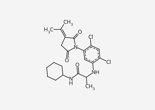 CC(C)=C1CC(=O)N(c2cc(NC(C)C(=O)NC3CCCCC3)c(Cl)cc2Cl)C1=O